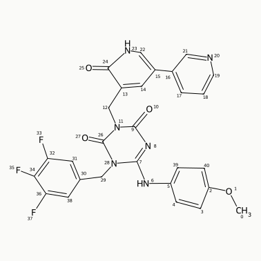 COc1ccc(Nc2nc(=O)n(Cc3cc(-c4cccnc4)c[nH]c3=O)c(=O)n2Cc2cc(F)c(F)c(F)c2)cc1